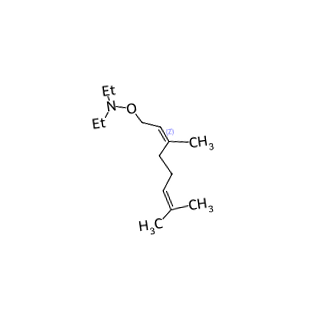 CCN(CC)OC/C=C(/C)CCC=C(C)C